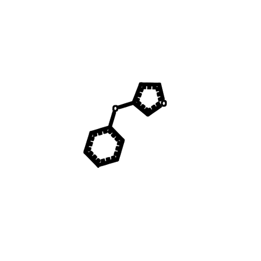 [c]1ccc(Oc2ccoc2)cc1